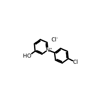 Oc1ccc[n+](-c2ccc(Cl)cc2)c1.[Cl-]